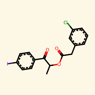 CC(OC(=O)Cc1cccc(Cl)c1)C(=O)c1ccc(I)cc1